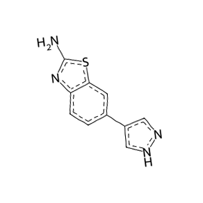 Nc1nc2ccc(-c3cn[nH]c3)cc2s1